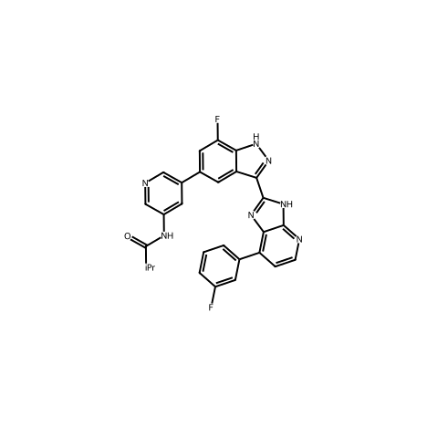 CC(C)C(=O)Nc1cncc(-c2cc(F)c3[nH]nc(-c4nc5c(-c6cccc(F)c6)ccnc5[nH]4)c3c2)c1